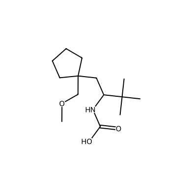 COCC1(CC(NC(=O)O)C(C)(C)C)CCCC1